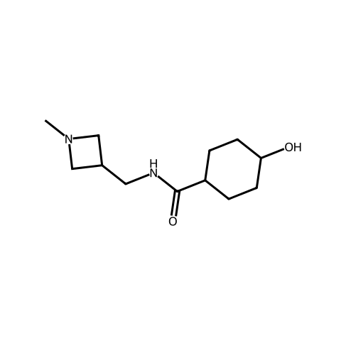 CN1CC(CNC(=O)C2CCC(O)CC2)C1